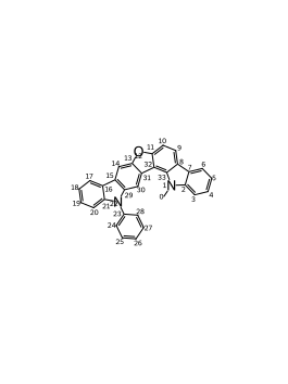 Cn1c2ccccc2c2ccc3oc4cc5c6ccccc6n(-c6ccccc6)c5cc4c3c21